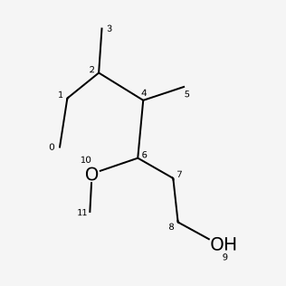 CCC(C)C(C)C(CCO)OC